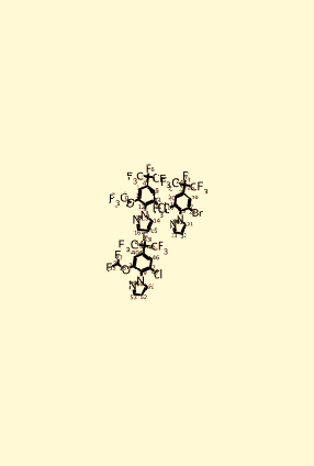 FC(F)(F)Oc1cc(C(F)(C(F)(F)F)C(F)(F)F)cc(Cl)c1-n1cccn1.FC(F)(F)c1cc(C(F)(C(F)(F)F)C(F)(F)F)cc(Br)c1-n1cccn1.FC(F)Oc1cc(C(F)(C(F)(F)F)C(F)(F)F)cc(Cl)c1-n1cccn1